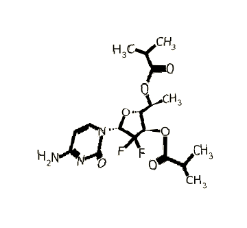 CC(C)C(=O)O[C@@H](C)[C@H]1O[C@@H](n2ccc(N)nc2=O)C(F)(F)[C@@H]1OC(=O)C(C)C